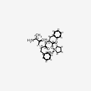 C[C@H](N)C(=O)C[C@@H](Cc1ccccc1)C(=O)N[C@@H](Cc1ccccc1)C(=O)O[Si]1(C(C)(C)C)CCCC1